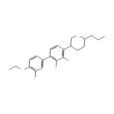 CCCC1CCC(c2ccc(-c3ccc(OCC)c(F)c3)c(F)c2F)CO1